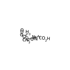 Cc1cc(OC2CCOCC2)cc(C)c1-c1cccc(COc2cnc(C3C[C@H]3C(=O)O)cn2)c1